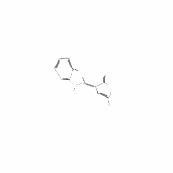 CC1=C/C(=C2/Oc3ccccc3N2C)C(=O)O1